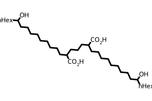 CCCCCCC(O)CCCCCCCCCC(CCCC(CCCCCCCCCC(O)CCCCCC)C(=O)O)C(=O)O